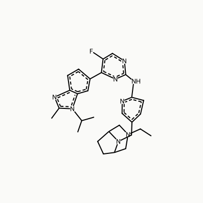 CCN1CC2CCC(C1)N2Cc1ccc(Nc2ncc(F)c(-c3ccc4nc(C)n(C(C)C)c4c3)n2)nc1